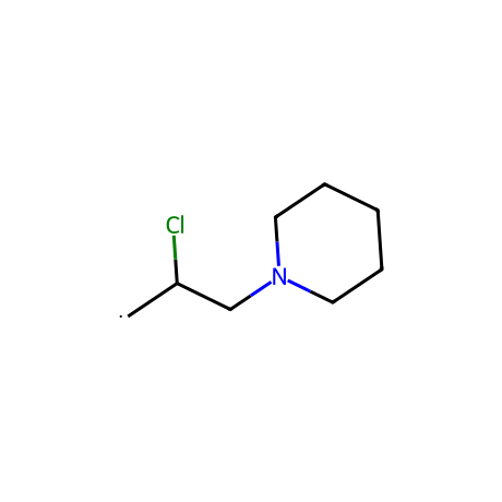 [CH2]C(Cl)CN1CCCCC1